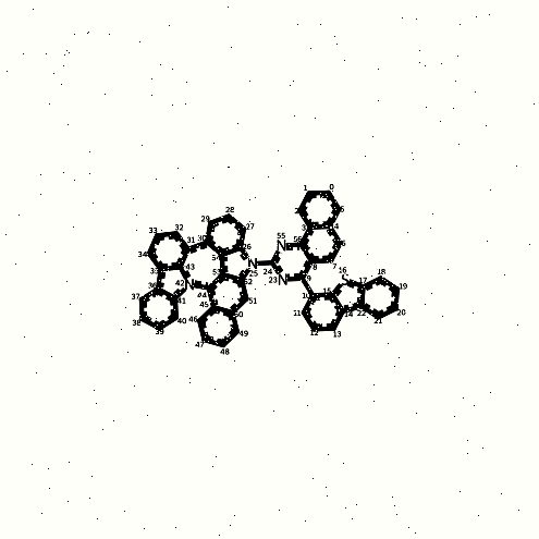 c1ccc2c(c1)ccc1c(-c3cccc4c3sc3ccccc34)nc(-n3c4cccc5c6cccc7c8ccccc8n(c67)c6c7ccccc7cc3c6c54)nc12